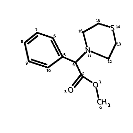 COC(=O)C(c1ccccc1)N1CCSCC1